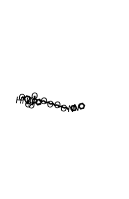 O=C1CCC(N2C(=O)c3ccc(OCCOCCOCCOCCN4CCN(C5CCCCC5)CC4)cc3C2=O)C(=O)N1